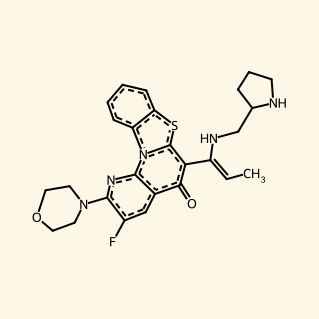 CC=C(NCC1CCCN1)c1c(=O)c2cc(F)c(N3CCOCC3)nc2n2c1sc1ccccc12